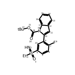 CCS(=N)(=O)c1ccc(F)c(-c2cc3ccccc3n2C(=O)OC(C)(C)C)c1